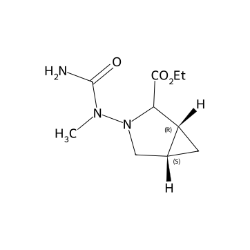 CCOC(=O)C1[C@@H]2C[C@@H]2CN1N(C)C(N)=O